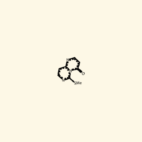 CSc1nccc2nccc(=O)n12